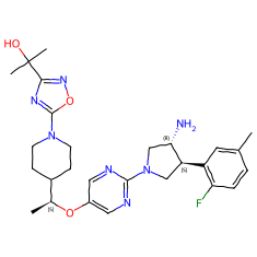 Cc1ccc(F)c([C@H]2CN(c3ncc(O[C@@H](C)C4CCN(c5nc(C(C)(C)O)no5)CC4)cn3)C[C@@H]2N)c1